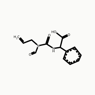 C=CCN(C=O)C(=O)NC(C(=O)O)c1ccccc1